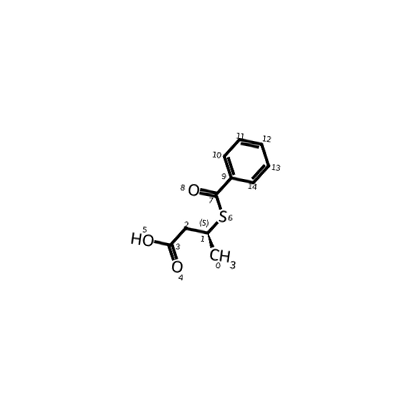 C[C@@H](CC(=O)O)SC(=O)c1ccccc1